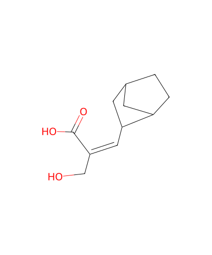 O=C(O)C(=CC1CC2CCC1C2)CO